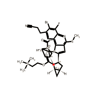 CSc1nc2c(F)c(Br)c(CCC#N)cc2c2c1cc([C@H]1C[C@H]3C[C@H]3N1C(=O)OCC[Si](C)(C)C)n2[C@H]1[C@@H]2C[C@H]1N(C(=O)O)C2